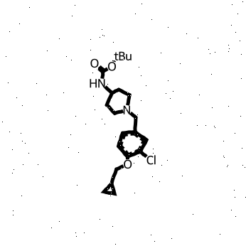 CC(C)(C)OC(=O)NC1CCN(Cc2ccc(OCC3CC3)c(Cl)c2)CC1